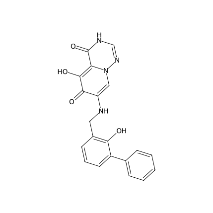 O=c1c(NCc2cccc(-c3ccccc3)c2O)cn2nc[nH]c(=O)c2c1O